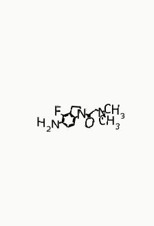 CN(C)CC(=O)N1CCc2c1ccc(N)c2F